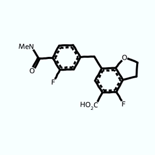 CNC(=O)c1ccc(Cc2cc(C(=O)O)c(F)c3c2OCC3)cc1F